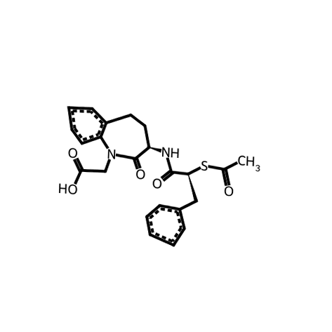 CC(=O)S[C@@H](Cc1ccccc1)C(=O)N[C@@H]1CCc2ccccc2N(CC(=O)O)C1=O